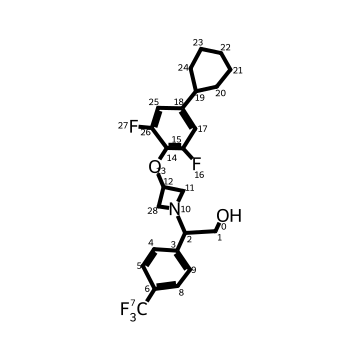 OCC(c1ccc(C(F)(F)F)cc1)N1CC(Oc2c(F)cc(C3CCCCC3)cc2F)C1